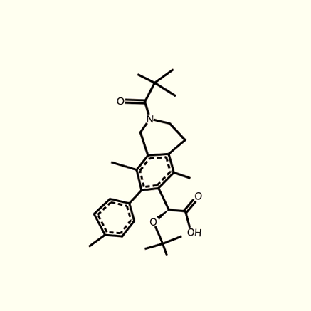 Cc1ccc(-c2c(C)c3c(c(C)c2[C@H](OC(C)(C)C)C(=O)O)CCN(C(=O)C(C)(C)C)C3)cc1